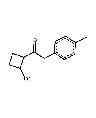 O=C(O)C1CCC1C(=O)Nc1ccc(F)cc1